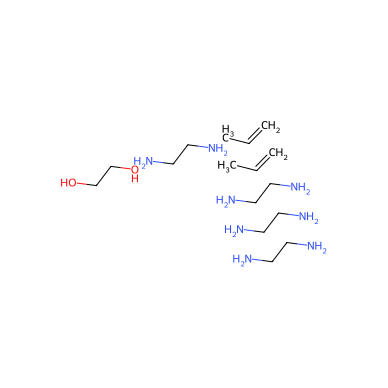 C=CC.C=CC.NCCN.NCCN.NCCN.NCCN.OCCO